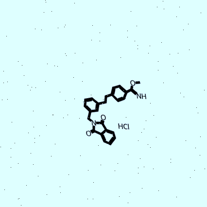 COC(=N)c1ccc(CCc2cccc(CN3C(=O)c4ccccc4C3=O)c2)cc1.Cl